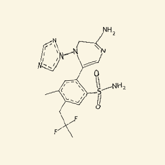 Cc1cc(C2=CN=C(N)CN2n2cncn2)c(S(N)(=O)=O)cc1CC(C)(F)F